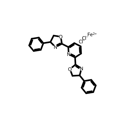 [Cl-].[Cl-].[Fe+2].c1ccc(C2COC(c3cccc(C4=NC(c5ccccc5)CO4)n3)=N2)cc1